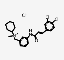 C[N+](C)(Cc1cccc(NC(=O)/C=C/c2ccc(Cl)c(Cl)c2)c1)C1CCCCC1.[Cl-]